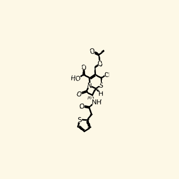 CC(=O)OCC1=C(C(=O)O)N2C(=O)[C@@H](NC(=O)Cc3cccs3)[C@H]2SC1Cl